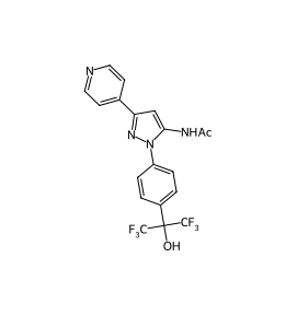 CC(=O)Nc1cc(-c2ccncc2)nn1-c1ccc(C(O)(C(F)(F)F)C(F)(F)F)cc1